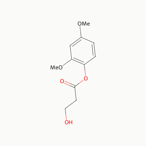 COc1ccc(OC(=O)CCO)c(OC)c1